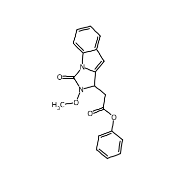 CON1C(=O)n2c(cc3ccccc32)C1CC(=O)Oc1ccccc1